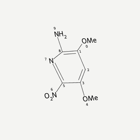 COc1cc(OC)c([N+](=O)[O-])nc1N